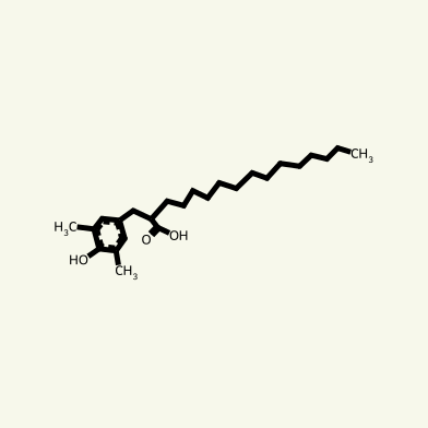 CCCCCCCCCCCCCCC(Cc1cc(C)c(O)c(C)c1)C(=O)O